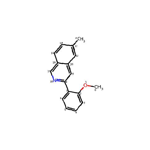 COc1ccccc1-c1cc2cc(C)ccc2cn1